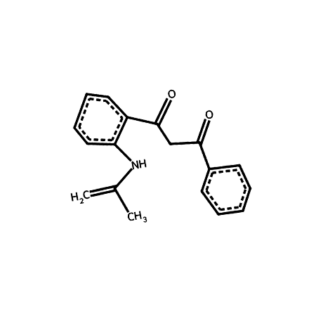 C=C(C)Nc1ccccc1C(=O)CC(=O)c1ccccc1